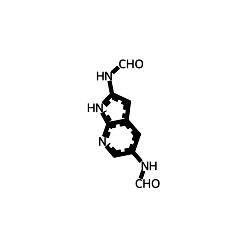 O=CNc1cnc2[nH]c(NC=O)cc2c1